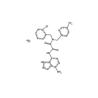 Nc1ncc(NC(=O)C(=O)N(Cc2ccc(C(F)(F)F)cn2)Cc2ccccc2Cl)c2[nH]ncc12.[Cl-].[H+]